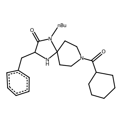 CCCCN1C(=O)C(Cc2ccccc2)NC12CCN(C(=O)C1CCCCC1)CC2